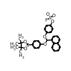 CC1(C)OB(c2ccc(OC(Oc3ccc(OS(=O)(=O)F)cc3)c3cccc4ccccc34)cc2)OC1(C)C